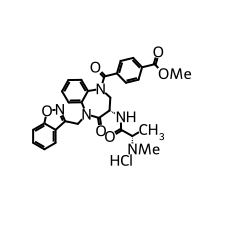 CN[C@@H](C)C(=O)N[C@H]1CN(C(=O)c2ccc(C(=O)OC)cc2)c2ccccc2N(Cc2noc3ccccc23)C1=O.Cl